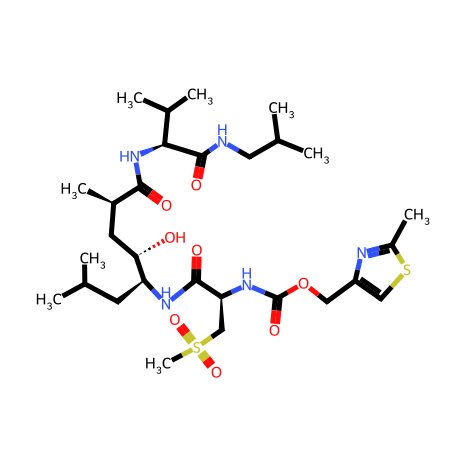 Cc1nc(COC(=O)N[C@@H](CS(C)(=O)=O)C(=O)N[C@@H](CC(C)C)[C@@H](O)C[C@@H](C)C(=O)N[C@H](C(=O)NCC(C)C)C(C)C)cs1